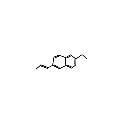 C/C=C/c1ccc2cc(OC)ccc2c1